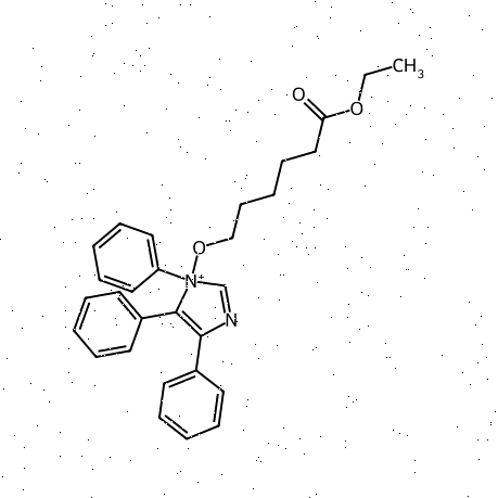 CCOC(=O)CCCCCO[N+]1(c2ccccc2)C=NC(c2ccccc2)=C1c1ccccc1